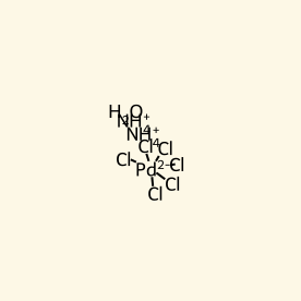 O.[Cl][Pd-2]([Cl])([Cl])([Cl])([Cl])[Cl].[NH4+].[NH4+]